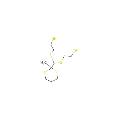 CC1(C(SCCS)SCCS)SCCCS1